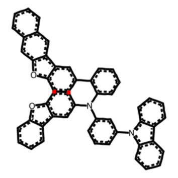 c1cc(N(c2ccc3oc4ccccc4c3c2)c2ccccc2-c2ccc3oc4cc5ccccc5cc4c3c2)cc(-n2c3ccccc3c3ccccc32)c1